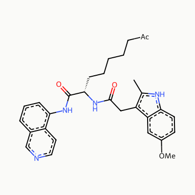 COc1ccc2[nH]c(C)c(CC(=O)N[C@@H](CCCCCC(C)=O)C(=O)Nc3cccc4cnccc34)c2c1